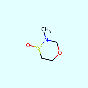 CN1COCC[S+]1[O-]